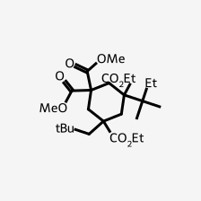 CCOC(=O)C1(CC(C)(C)C)CC(C(=O)OC)(C(=O)OC)CC(C(=O)OCC)(C(C)(C)CC)C1